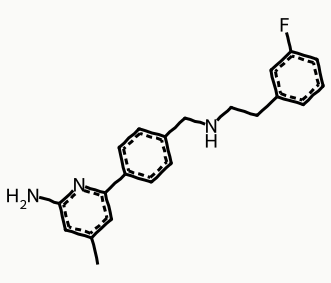 Cc1cc(N)nc(-c2ccc(CNCCc3cccc(F)c3)cc2)c1